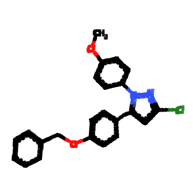 COc1ccc(-n2nc(Cl)cc2-c2ccc(OCc3ccccc3)cc2)cc1